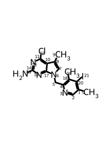 Cc1cnc(Cn2cc(C)c3c(Cl)nc(N)nc32)c(C)c1I